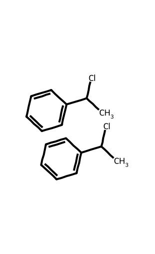 CC(Cl)c1ccccc1.CC(Cl)c1ccccc1